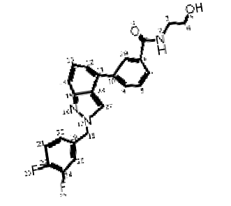 O=C(NCCO)c1cccc(-c2cccc3nn(Cc4ccc(F)c(F)c4)cc23)c1